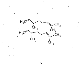 C=CC(=C)CCC=C(C)C.C=CC(=C)CCC=C(C)C